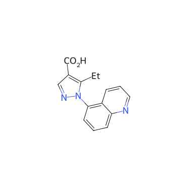 CCc1c(C(=O)O)cnn1-c1cccc2ncccc12